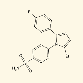 CCc1ccc(-c2ccc(F)cc2)n1-c1ccc(S(N)(=O)=O)cc1